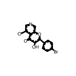 O=c1c(O)c(-c2ccc(Br)cc2)oc2cncc(Cl)c12